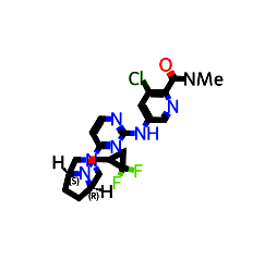 CNC(=O)c1ncc(Nc2nccc(N3C[C@H]4CC[C@@H](C3)N4CC3CC3(F)F)n2)cc1Cl